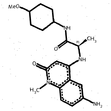 COC1CCC(NC(=O)[C@@H](C)Nc2cc(=O)n(C)c3ccc(N)cc23)CC1